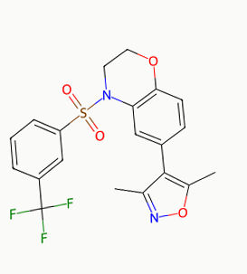 Cc1noc(C)c1-c1ccc2c(c1)N(S(=O)(=O)c1cccc(C(F)(F)F)c1)CCO2